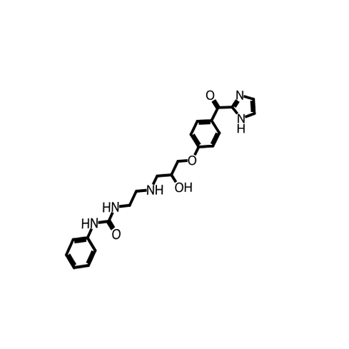 O=C(NCCNCC(O)COc1ccc(C(=O)c2ncc[nH]2)cc1)Nc1ccccc1